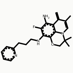 C=C1C(C)=CN2c3c(c(NCCCc4ccccn4)c(F)c(N)c31)OCC2(C)C